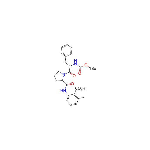 Cc1cccc(NC(=O)C2CCCN2C(=O)C(Cc2ccccc2)NC(=O)OC(C)(C)C)c1C(=O)O